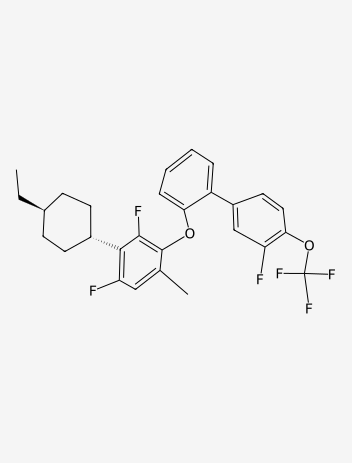 CC[C@H]1CC[C@H](c2c(F)cc(C)c(Oc3ccccc3-c3ccc(OC(F)(F)F)c(F)c3)c2F)CC1